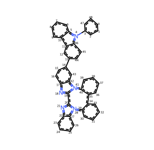 c1ccc(-n2c3ccccc3c3cc(-c4ccc5nc6c7nc8ccccc8n7c7ccccc7c7ccccc7n6c5c4)ccc32)cc1